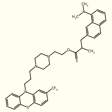 CC(Cc1ccc2cccc(N(C)C)c2c1)C(=S)OCCN1CCN(CCCN2c3ccccc3Sc3ccc(C(F)(F)F)cc32)CC1